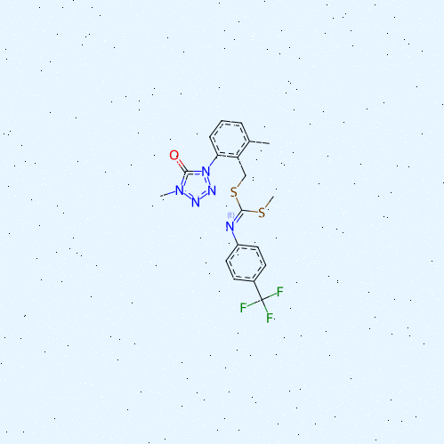 CS/C(=N\c1ccc(C(F)(F)F)cc1)SCc1c(C)cccc1-n1nnn(C)c1=O